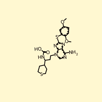 COc1ccc(OC)c(Sc2nc3c(N)ncn(CCC(NC(=O)O)C4CCSCC4)c-3n2)c1